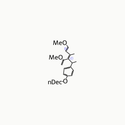 C=C(OC)/C(=C(C)\C=C\OC)C(C)c1ccc(OCCCCCCCCCC)cc1